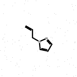 C=CCn1cccn1